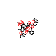 CCC(C[C@H]1OC[C@@]1(OC(C)=O)[C@@H]1C[C@@H](O)[C@@H](OC(C)=O)C2=C(C)C(O[Si](CC)(CC)CC)C[C@@](O)([C@H]1OC(=O)c1ccccc1)C2(C)C)O[Si](CC)(CC)CC